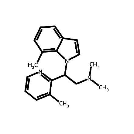 Cc1cccnc1C(CN(C)C)n1ccc2cccc(C)c21